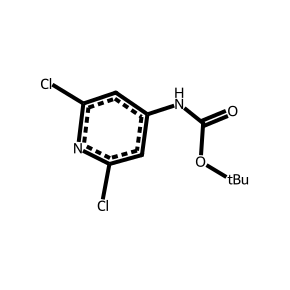 CC(C)(C)OC(=O)Nc1cc(Cl)nc(Cl)c1